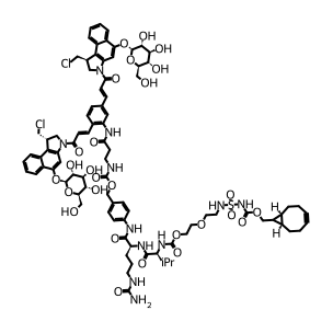 CC(C)[C@H](NC(=O)OCCOCCNS(=O)(=O)NC(=O)OCC1[C@H]2CCC#CCC[C@@H]12)C(=O)N[C@@H](CCCNC(N)=O)C(=O)Nc1ccc(COC(=O)NCCC(=O)Nc2cc(/C=C/C(=O)N3C[C@@H](CCl)c4c3cc(O[C@H]3O[C@H](CO)[C@@H](O)[C@H](O)[C@H]3O)c3ccccc43)ccc2/C=C/C(=O)N2C[C@@H](CCl)c3c2cc(O[C@@H]2O[C@H](CO)[C@@H](O)[C@H](O)[C@H]2O)c2ccccc32)cc1